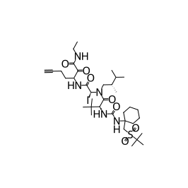 C#CCCC(NC(=O)[C@H](I)N(C[C@@H](C)C(C)C)C(=O)[C@@H](NC(=O)NC1(CS(=O)(=O)C(C)(C)C)CCCCC1)C(C)(C)C)C(=O)C(=O)NCC